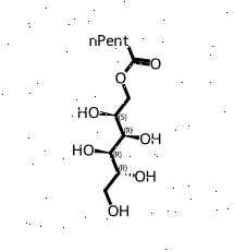 CCCCCC(=O)OC[C@H](O)[C@@H](O)[C@H](O)[C@H](O)CO